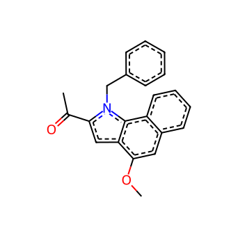 COc1cc2ccccc2c2c1cc(C(C)=O)n2Cc1ccccc1